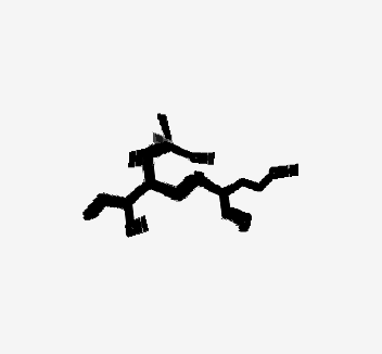 CCC(O)C(CSC(C=O)CCO)N[C@H](C)O